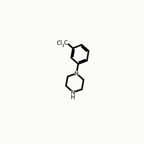 ClC(Cl)(Cl)c1cccc(N2CCNCC2)c1